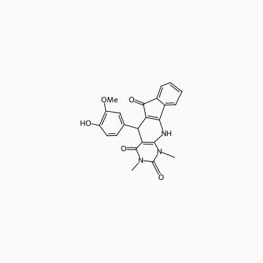 COc1cc(C2C3=C(Nc4c2c(=O)n(C)c(=O)n4C)c2ccccc2C3=O)ccc1O